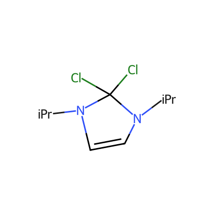 CC(C)N1C=CN(C(C)C)C1(Cl)Cl